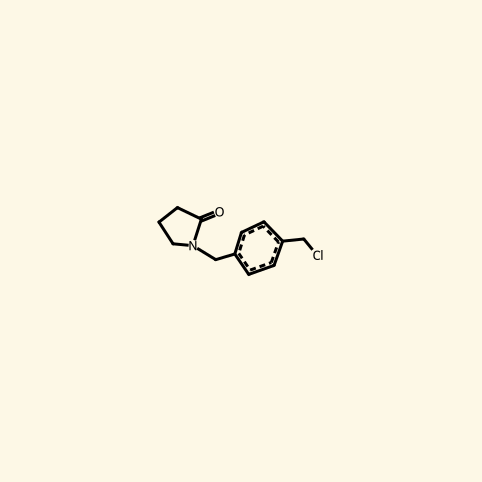 O=C1CCCN1Cc1ccc(CCl)cc1